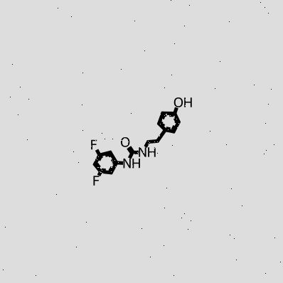 O=C(NCCc1ccc(O)cc1)Nc1cc(F)cc(F)c1